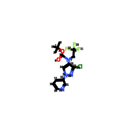 CC(C)(C)OC(=O)N(CC(F)(F)F)c1cn(-c2cccnc2)nc1Cl